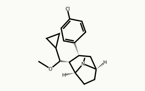 COC(C1CC1)[C@@H]1[C@H](c2ccc(Cl)cc2)C[C@H]2CC[C@@H]1N2C